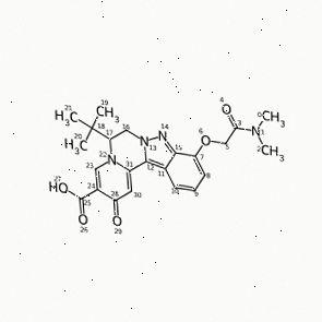 CN(C)C(=O)COc1cccc2c3n(nc12)CC(C(C)(C)C)n1cc(C(=O)O)c(=O)cc1-3